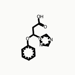 O=C(O)CC(Oc1ccccc1)n1cncn1